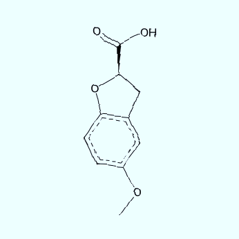 COc1ccc2c(c1)C[C@H](C(=O)O)O2